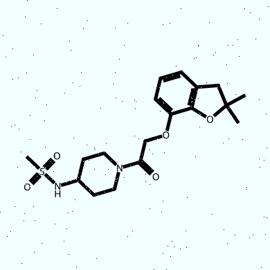 CC1(C)Cc2cccc(OCC(=O)N3CCC(NS(C)(=O)=O)CC3)c2O1